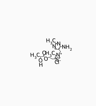 Cc1ncc(C[n+]2csc(CCOC(=O)C(C)O)c2C)c(N)n1.[Cl-]